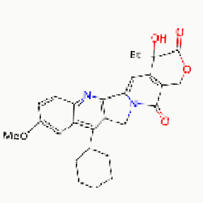 CCC1(O)C(=O)OCc2c1cc1n(c2=O)Cc2c-1nc1ccc(OC)cc1c2C1CCCCC1